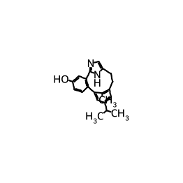 Cc1c2cc(C(C)C)cc1-c1ccc(O)cc1-c1ncc([nH]1)CC2